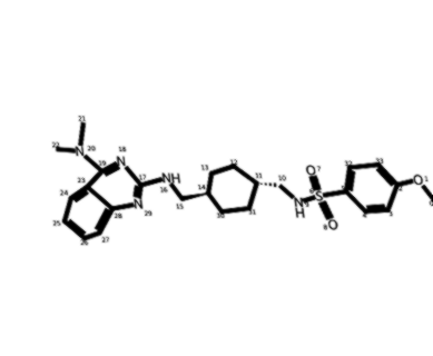 COc1ccc(S(=O)(=O)NC[C@H]2CC[C@H](CNc3nc(N(C)C)c4ccccc4n3)CC2)cc1